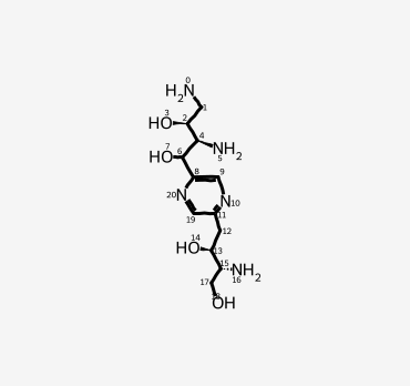 NC[C@H](O)[C@@H](N)C(O)c1cnc(C[C@H](O)[C@H](N)CO)cn1